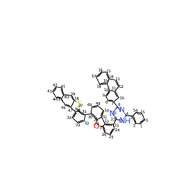 c1ccc(C2N=C(c3ccc4c(ccc5ccccc54)c3)N=C(c3cccc4oc5c(-c6cccc7c6sc6cc8ccccc8cc67)cccc5c34)N2)cc1